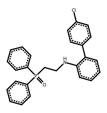 O=P(CCNc1ccccc1-c1ccc(Cl)cc1)(c1ccccc1)c1ccccc1